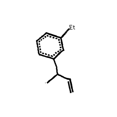 [CH2]C(C=C)c1cccc(CC)c1